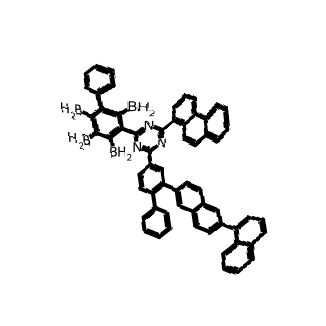 Bc1c(B)c(-c2ccccc2)c(B)c(-c2nc(-c3ccc(-c4ccccc4)c(-c4ccc5cc(-c6cccc7ccccc67)ccc5c4)c3)nc(-c3cccc4c3ccc3ccccc34)n2)c1B